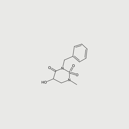 CN1CC(O)C(=O)N(Cc2ccccc2)S1(=O)=O